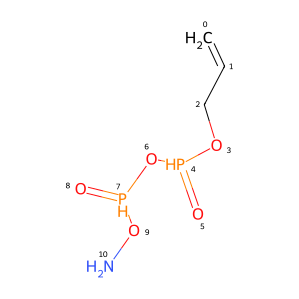 C=CCO[PH](=O)O[PH](=O)ON